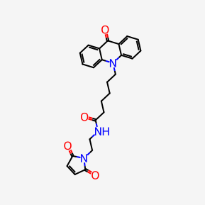 O=C(CCCCCn1c2ccccc2c(=O)c2ccccc21)NCCN1C(=O)C=CC1=O